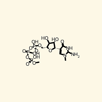 COP(=O)(O)OP(=O)(O)OP(=O)(O)OC[C@H]1O[C@@H](C2=CN(C)C(N)NC2=O)[C@@H](O)C1O